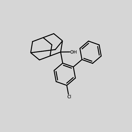 OC1(c2ccc(Cl)cc2-c2ccccc2)C2CC3CC(C2)CC1C3